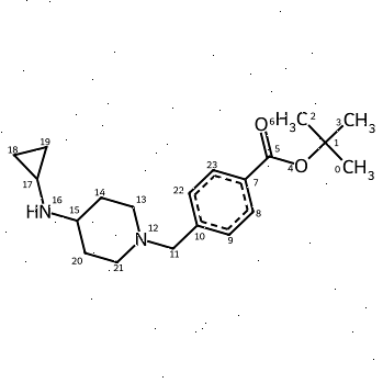 CC(C)(C)OC(=O)c1ccc(CN2CCC(NC3CC3)CC2)cc1